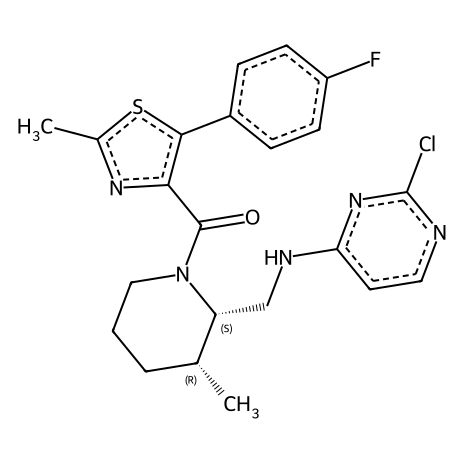 Cc1nc(C(=O)N2CCC[C@@H](C)[C@H]2CNc2ccnc(Cl)n2)c(-c2ccc(F)cc2)s1